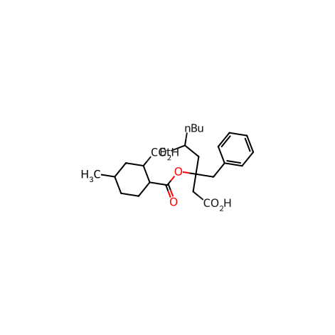 CCCCC(CC)CC(CC(=O)O)(Cc1ccccc1)OC(=O)C1CCC(C)CC1C(=O)O